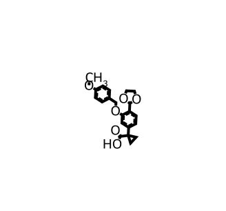 COc1ccc(COc2cc(C3(C(=O)O)CC3)ccc2C2OCCO2)cc1